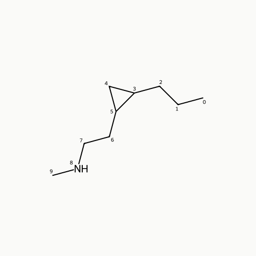 CCCC1CC1CCNC